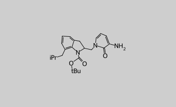 CC(C)Cc1cccc2c1N(C(=O)OC(C)(C)C)C(Cn1cccc(N)c1=O)C2